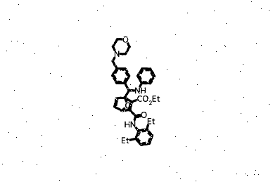 CCOC(=O)C1=C(C(=O)Nc2c(CC)cccc2CC)C2C=CC1(C(Nc1ccccc1)c1ccc(CN3CCOCC3)cc1)O2